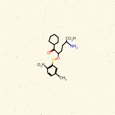 Cc1ccc([N+](=O)[O-])c(SOC(CCC(N)C(=O)O)C(=O)C2CCCCC2)c1